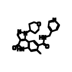 Cc1cc2[nH]c(=O)c3cnn(C4CCOCC4)c3c2cc1C(=O)NCc1ccncc1